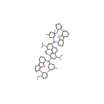 C=Cc1c(N(c2cc(C)cc(C)c2)c2cccc3c2oc2c(-c4ccccc4CC)cccc23)cc(C(C)C)c2ccc3c(N(c4cc(C)cc(C)c4)c4cccc5c4oc4c(-c6ccccc6CC)cccc45)cc(C(C)C)c(C)c3c12